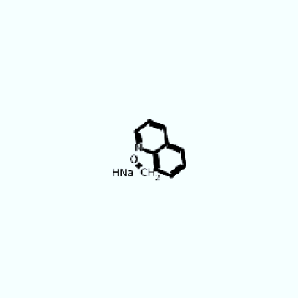 C=O.[NaH].c1ccc2ncccc2c1